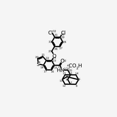 O=C(N[C@H](C(=O)O)C12CC3CC(CC(C3)C1)C2)c1ccc2sccc2c1OCc1ccc(Cl)c(Cl)c1